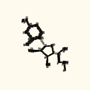 CNC=C(O)[C@H]1O[C@@H](n2ccc(N)nc2=O)[C@H](O)[C@@H]1O